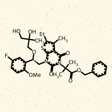 CCc1sc2c(c1C)c(=O)n(C(C)(C)C(=O)OCc1ccccc1)c(=O)n2C[C@H](OCC(C)(O)CO)c1cc(F)ccc1OC